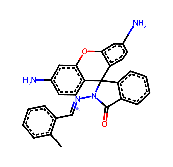 Cc1ccccc1/C=N/N1C(=O)c2ccccc2C12c1ccc(N)cc1Oc1cc(N)ccc12